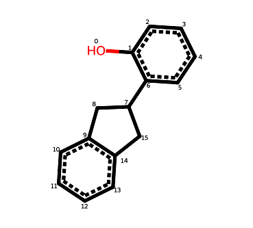 Oc1ccccc1C1Cc2ccccc2C1